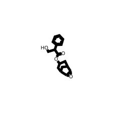 O=C(OC1CC2CC(C1)C1OC21)C(CO)c1ccccc1